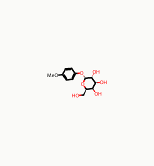 COc1ccc(O[C@H]2O[C@H](CO)[C@H](O)[C@H](O)[C@H]2O)cc1